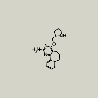 Nc1nc(OC[C@H]2CCCN2)c2c(n1)-c1ccccc1CCC2